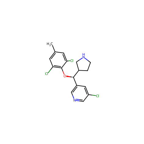 Cc1cc(Cl)c(O[C@H](c2cncc(Cl)c2)C2CCNC2)c(Cl)c1